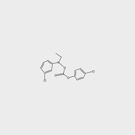 CCN(OC(=O)Oc1ccc(Cl)cc1)c1cccc(Cl)c1